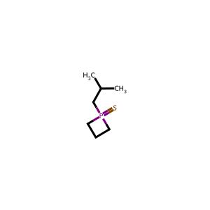 CC(C)CP1(=S)CCC1